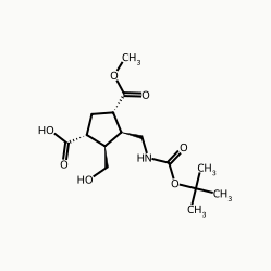 COC(=O)[C@H]1C[C@@H](C(=O)O)[C@H](CO)[C@@H]1CNC(=O)OC(C)(C)C